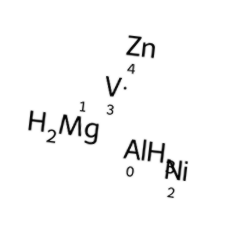 [AlH3].[MgH2].[Ni].[V].[Zn]